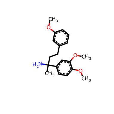 COc1cccc(CCC(C)(N)c2ccc(OC)c(OC)c2)c1